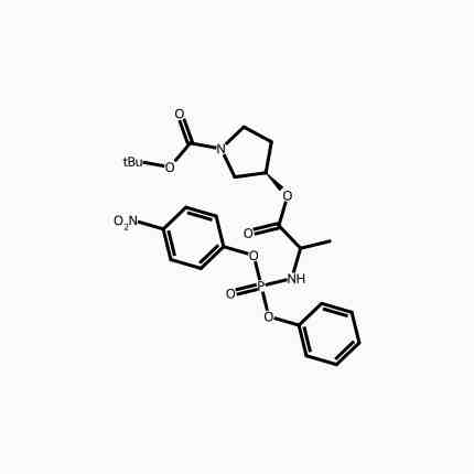 CC(NP(=O)(Oc1ccccc1)Oc1ccc([N+](=O)[O-])cc1)C(=O)O[C@@H]1CCN(C(=O)OC(C)(C)C)C1